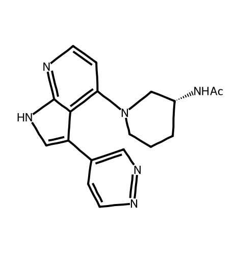 CC(=O)N[C@@H]1CCCN(c2ccnc3[nH]cc(-c4ccnnc4)c23)C1